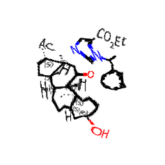 CC(=O)[C@H]1CC[C@H]2[C@@H]3CC[C@H]4C[C@H](O)CC[C@]4(C)[C@H]3C(=O)C[C@]12C.CCOC(=O)c1cncn1C(C)c1ccccc1